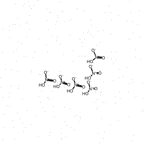 O=[N+]([O-])O.O=[N+]([O-])O.O=[N+]([O-])O.O=[N+]([O-])O.O=[N+]([O-])O.O=[N+]([O-])O